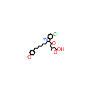 COc1ccc(CCCCCCc2c(C(=O)CC(C)CC(=O)O)c3cc(Cl)ccc3n2C)cc1